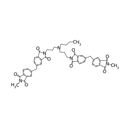 CCCCN(CCCN1C(=O)c2ccc(Cc3ccc4c(c3)C(=O)N(C)C4=O)cc2C1=O)CCCN1C(=O)c2ccc(Cc3ccc4c(c3)C(=O)N(C)C4=O)cc2C1=O